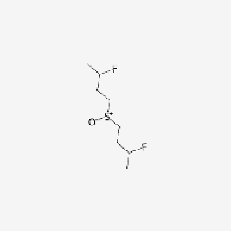 CC(F)CC[S+]([O-])CCC(C)F